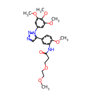 COCCOCCC(=O)Nc1cc(-c2cnnn2-c2cc(OC)c(OC)c(OC)c2)ccc1OC